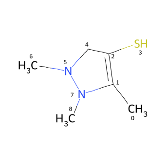 CC1=C(S)CN(C)N1C